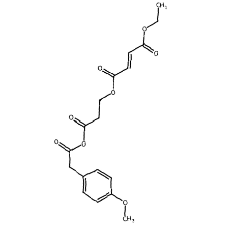 CCOC(=O)C=CC(=O)OCCC(=O)OC(=O)Cc1ccc(OC)cc1